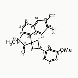 COc1cccc(C2CC3(C2)C(=O)N(C)c2cnc4cc(F)c(Br)cc4c23)n1